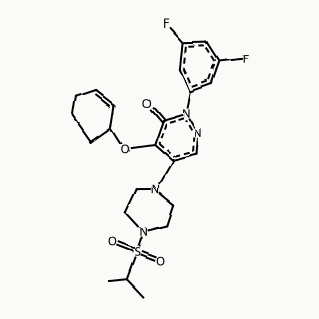 CC(C)S(=O)(=O)N1CCN(c2cnn(-c3cc(F)cc(F)c3)c(=O)c2OC2C=CCCC2)CC1